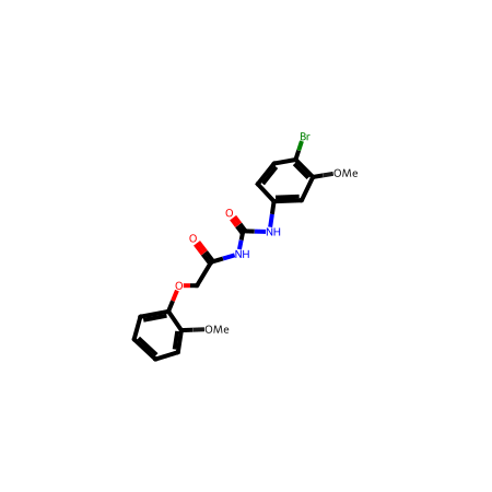 COc1cc(NC(=O)NC(=O)COc2ccccc2OC)ccc1Br